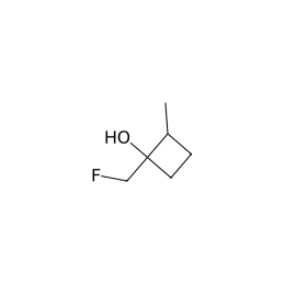 CC1CCC1(O)CF